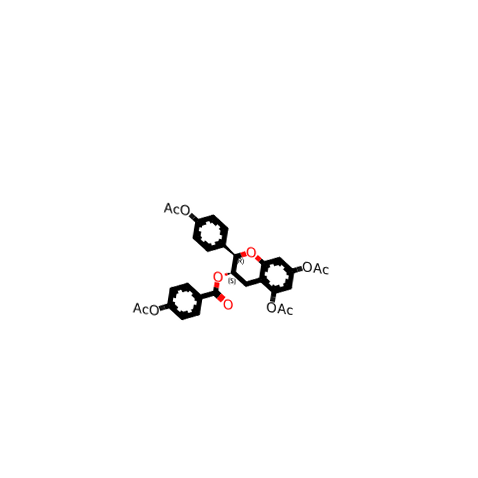 CC(=O)Oc1ccc(C(=O)O[C@H]2Cc3c(OC(C)=O)cc(OC(C)=O)cc3O[C@@H]2c2ccc(OC(C)=O)cc2)cc1